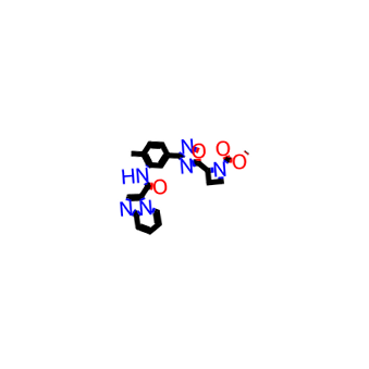 COC(=O)N1CCC1c1nc(-c2ccc(C)c(NC(=O)c3cnc4ccccn34)c2)no1